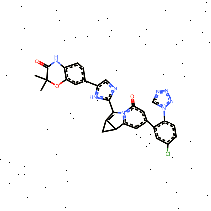 CC1(C)Oc2cc(-c3cnc(C4=C5CC5c5cc(-c6cc(Cl)ccc6-n6cnnn6)cc(=O)n54)[nH]3)ccc2NC1=O